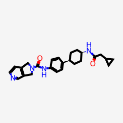 O=C(CC1CC1)N[C@H]1CC[C@H](c2ccc(NC(=O)N3Cc4ccncc4C3)cc2)CC1